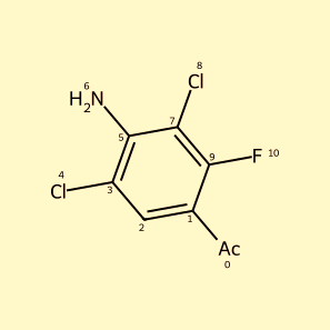 CC(=O)c1cc(Cl)c(N)c(Cl)c1F